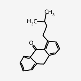 CC(C)CCc1cccc2c1C(=O)c1ccccc1C2